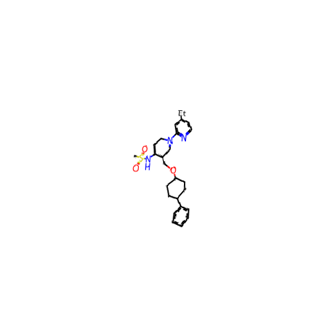 CCc1ccnc(N2CCC(NS(C)(=O)=O)[C@H](COC3CCC(c4ccccc4)CC3)C2)c1